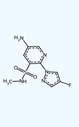 CNS(=O)(=O)c1cc(N)cnc1-n1cc(F)cn1